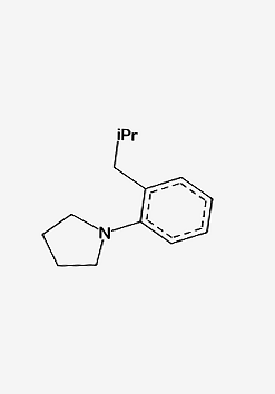 CC(C)Cc1ccccc1N1CCCC1